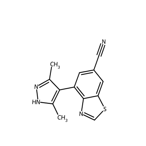 Cc1n[nH]c(C)c1-c1cc(C#N)cc2scnc12